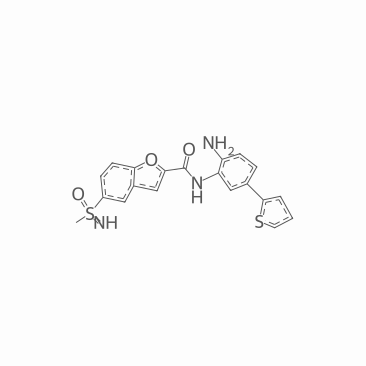 CS(=N)(=O)c1ccc2oc(C(=O)Nc3cc(-c4cccs4)ccc3N)cc2c1